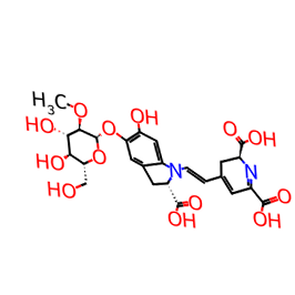 CO[C@H]1[C@H](Oc2cc3c(cc2O)N(/C=C/C2=CC(C(=O)O)=N[C@H](C(=O)O)C2)[C@H](C(=O)O)C3)O[C@H](CO)[C@@H](O)[C@@H]1O